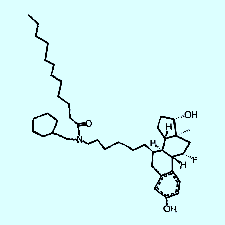 CCCCCCCCCCCC(=O)N(CCCCCC[C@@H]1Cc2cc(O)ccc2[C@@H]2[C@@H]1[C@@H]1CC[C@H](O)[C@@]1(C)C[C@@H]2F)CC1CCCCC1